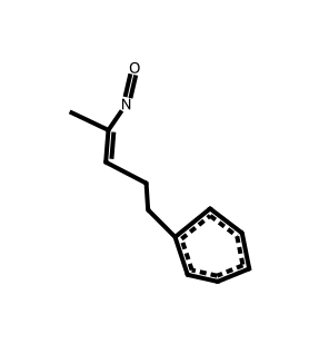 CC(=CCCc1ccccc1)N=O